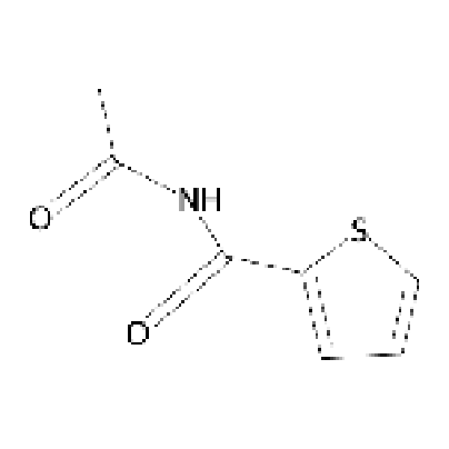 CC(=O)NC(=O)c1cccs1